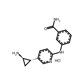 Cl.NC(=O)c1cccc(Nc2ccc([C@@H]3C[C@H]3N)cn2)c1